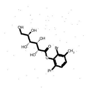 Cc1ccc(C(C)C)c(OC(=O)[C@H](O)[C@@H](O)[C@H](O)[C@H](O)CO)c1Br